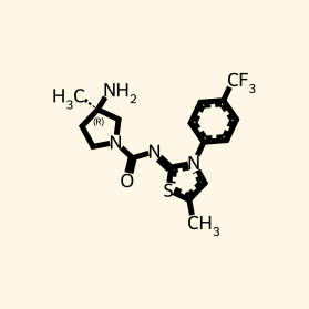 Cc1cn(-c2ccc(C(F)(F)F)cc2)c(=NC(=O)N2CC[C@@](C)(N)C2)s1